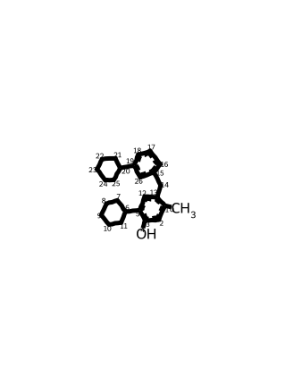 Cc1cc(O)c(C2CCCCC2)cc1Cc1cccc(C2CCCCC2)c1